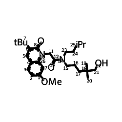 COc1ccc2cc(C(C)(C)C)c(=O)n(CC(=O)N(CCCC(C)(C)CO)CCC(C)C)c2c1